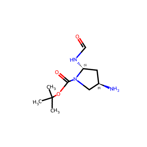 CC(C)(C)OC(=O)N1C[C@H](N)C[C@H]1NC=O